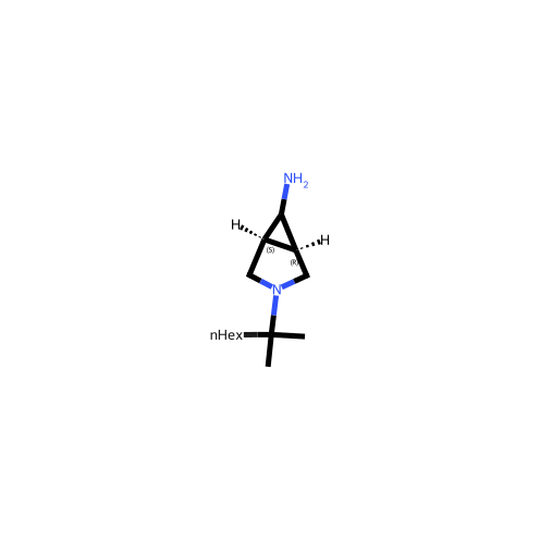 CCCCCCC(C)(C)N1C[C@@H]2C(N)[C@@H]2C1